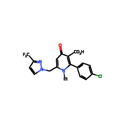 CCn1c(Cn2ccc(C(F)(F)F)n2)cc(=O)c(C(=O)O)c1-c1ccc(Cl)cc1